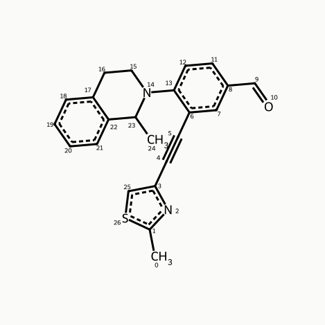 Cc1nc(C#Cc2cc(C=O)ccc2N2CCc3ccccc3C2C)cs1